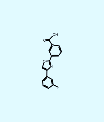 O=C(O)c1cccc(-c2nc(-c3cccc(F)c3)co2)c1